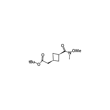 CON(C)C(=O)[C@H]1C[C@@H](CC(=O)OC(C)(C)C)C1